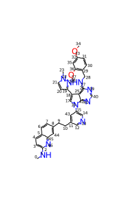 CNc1ccc2ccc(CCc3cncc(-n4cc(-c5ccn(C)n5)c5c(NCc6ccc(OC)cc6OC)ncnc54)c3)cc2n1